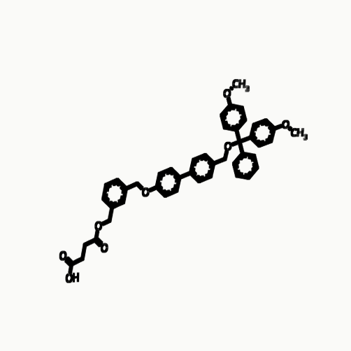 COc1ccc(C(OCc2ccc(-c3ccc(OCc4cccc(COC(=O)CCC(=O)O)c4)cc3)cc2)(c2ccccc2)c2ccc(OC)cc2)cc1